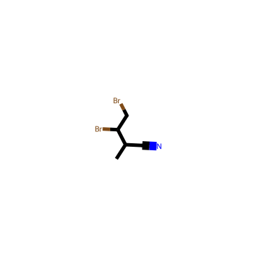 CC(C#N)C(Br)CBr